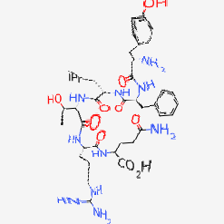 CC(C)C[C@H](NC(=O)[C@H](Cc1ccccc1)NC(=O)[C@@H](N)Cc1ccc(O)cc1)C(=O)N[C@H](C(=O)N[C@@H](CCCNC(=N)N)C(=O)N[C@@H](CCC(N)=O)C(=O)O)[C@@H](C)O